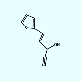 C#CC(O)C=Cc1cccs1